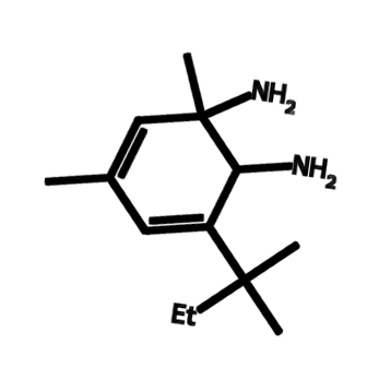 CCC(C)(C)C1=CC(C)=CC(C)(N)C1N